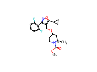 C[C@@H]1CC(OCc2c(-c3c(F)cccc3F)noc2C2CC2)CCN1C(=O)OC(C)(C)C